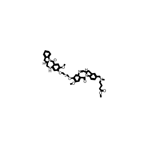 COC(=O)CCCN(C)Cc1ccc2c(c1)C[C@H]1C=Nc3cc(OCSCOc4cc5c(cc4OC)C(=O)N4c6ccccc6C[C@H]4CN5)c(OC)cc3C(=O)N21